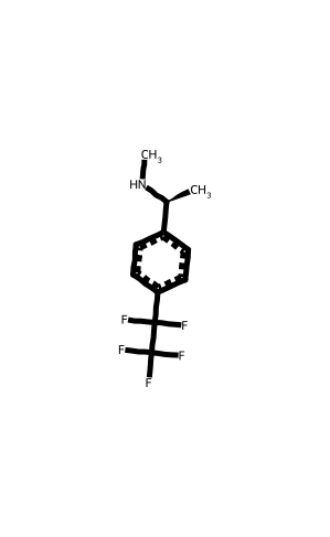 CN[C@@H](C)c1ccc(C(F)(F)C(F)(F)F)cc1